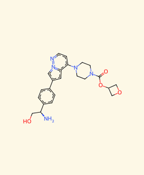 N[C@@H](CO)c1ccc(-c2cc3c(N4CCN(C(=O)OC5COC5)CC4)ccnn3c2)cc1